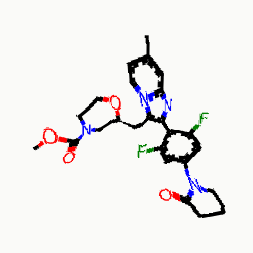 COC(=O)N1CCO[C@@H](Cc2c(-c3c(F)cc(N4CCCC4=O)cc3F)nc3cc(C)ccn23)C1